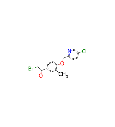 Cc1cc(C(=O)CBr)ccc1OCc1ccc(Cl)cn1